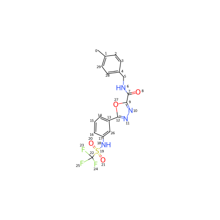 Cc1ccc(CNC(=O)c2nnc(-c3cccc(NS(=O)(=O)C(F)(F)F)c3)o2)cc1